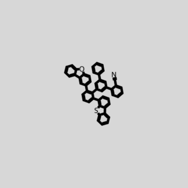 N#Cc1ccccc1-c1cc(-c2ccccc2)cc(-c2c(-c3ccc4oc5ccccc5c4c3)cccc2-c2cccc3c2sc2ccccc23)c1